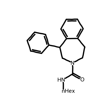 CCCCCCNC(=O)N1CCc2ccccc2C(c2ccccc2)C1